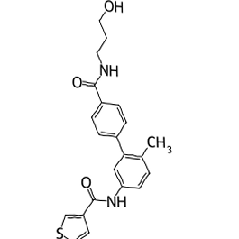 Cc1ccc(NC(=O)c2ccsc2)cc1-c1ccc(C(=O)NCCCO)cc1